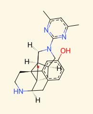 Cc1cc(C)nc(N2C[C@H]3C[C@@]45CC[C@@H]2[C@@H]3[C@@]42CCN[C@@H]5Cc3ccc(O)cc32)n1